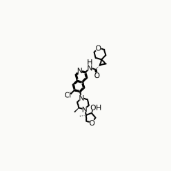 C[C@H]1CN(c2cc3cc(NC(=O)[C@H]4CC45CCOCC5)ncc3cc2Cl)CCN1[C@]1(C)COC[C@@H]1O